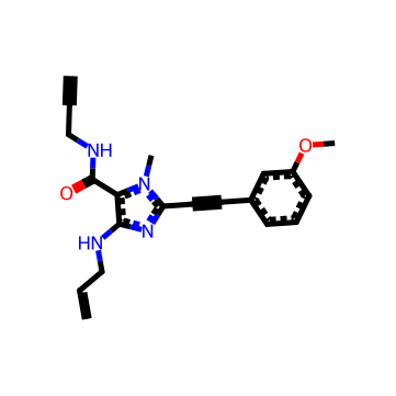 C#CCNC(=O)c1c(NCC=C)nc(C#Cc2cccc(OC)c2)n1C